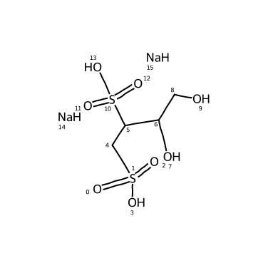 O=S(=O)(O)CC(C(O)CO)S(=O)(=O)O.[NaH].[NaH]